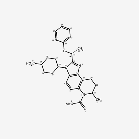 COC(=O)N1c2ccc3c(nc([C@@H](C)Oc4ccccn4)n3C3CCC(C(=O)O)CC3)c2CCC1C